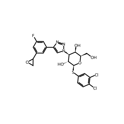 OC[C@H]1O[C@@H](Sc2ccc(Cl)c(Cl)c2)[C@H](O)[C@@H](n2cc(-c3cc(F)cc(C4CO4)c3)nn2)[C@H]1O